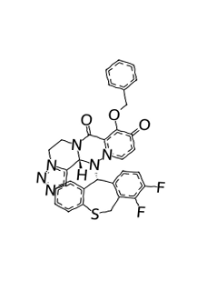 O=C1c2c(OCc3ccccc3)c(=O)ccn2N([C@H]2c3ccccc3SCc3c2ccc(F)c3F)[C@@H]2c3cnnn3CCN12